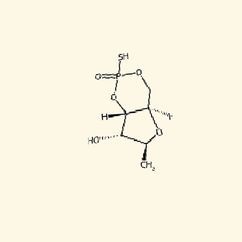 C[C@@H]1O[C@@H]2COP(=O)(S)O[C@H]2[C@H]1O